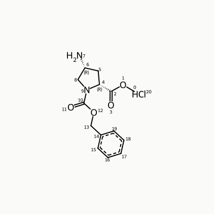 COC(=O)[C@H]1C[C@@H](N)CN1C(=O)OCc1ccccc1.Cl